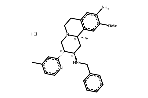 COc1cc2c(cc1N)CCN1C[C@@H](c3cc(C)ccn3)[C@H](NCc3ccccc3)C[C@H]21.Cl